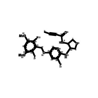 CC#CC(=O)NC1COCC1Nc1ncc(OCc2c(F)c(OC)cc(OC)c2F)cc1F